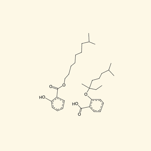 CC(C)CCCCCCCOC(=O)c1ccccc1O.CCC(C)(CCCC(C)C)Oc1ccccc1C(=O)O